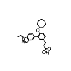 CCn1ncc2cc(-c3cc(CCC(=O)O)ccc3OC3CCCCCC3)ccc21